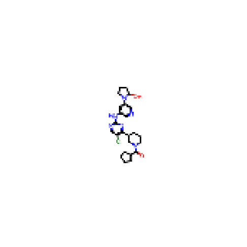 O=C(C1CCCC1)N1CCCC(c2nc(Nc3cncc(N4CCCC4O)c3)ncc2Cl)C1